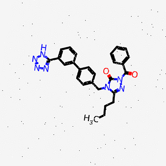 CCCCc1nn(C(=O)c2ccccc2)c(=O)n1Cc1ccc(-c2cccc(-c3nnn[nH]3)c2)cc1